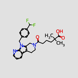 CC(C)(CCCC(=O)N1CCc2c(n(Cc3ccc(C(F)F)cc3)c3ncccc23)C1)C(=O)O